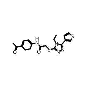 CCn1c(SCC(=O)NC2=CC=C(C(C)=O)CC2)nnc1-c1ccsc1